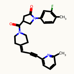 Cc1cccc(C#CC=C2CCN(C(=O)C3CC(=O)N(c4ccc(C)c(F)c4)C3)CC2)n1